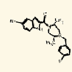 C[C@@H]1CN(Cc2ccc(F)cc2)[C@@H](C)CN1C(=O)c1cc2cc(Br)ccc2[nH]1